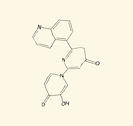 O=C1C=C(n2ccc(=O)c(O)c2)N=C(c2cccc3ncccc23)C1